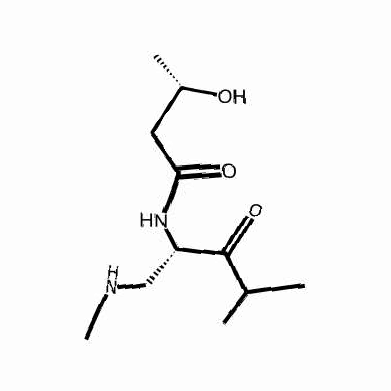 CNC[C@H](NC(=O)C[C@H](C)O)C(=O)C(C)C